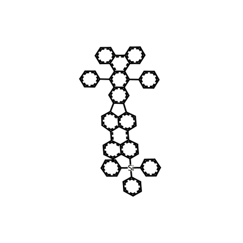 c1ccc(-c2c3cc4c(cc3c(-c3ccccc3)c3c5ccccc5c5ccccc5c23)-c2ccc3c5ccc([Si](c6ccccc6)(c6ccccc6)c6ccccc6)c6cccc(c7ccc-4c2c73)c65)cc1